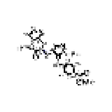 CCCCc1ncc(/C=C(\Cc2cccs2)C(=O)OC(C)C)n1Cc1ccc(C(=O)OC)cc1